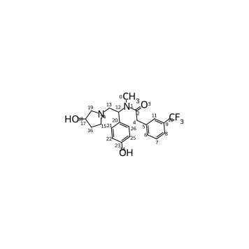 CN(C(=O)Cc1cccc(C(F)(F)F)c1)C(CN1CCC(O)C1)c1ccc(O)cc1